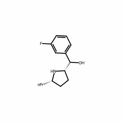 CCC[C@H]1CC[C@@H](C(O)c2cccc(F)c2)N1